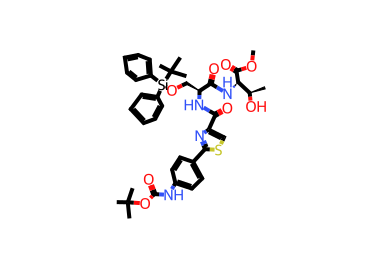 COC(=O)[C@@H](NC(=O)[C@H](CO[Si](c1ccccc1)(c1ccccc1)C(C)(C)C)NC(=O)c1csc(-c2ccc(NC(=O)OC(C)(C)C)cc2)n1)[C@@H](C)O